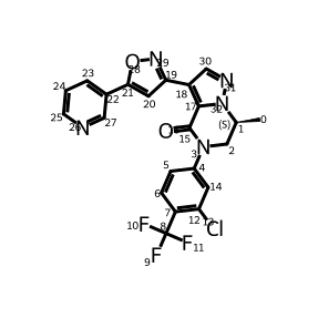 C[C@H]1CN(c2ccc(C(F)(F)F)c(Cl)c2)C(=O)c2c(-c3cc(-c4cccnc4)on3)cnn21